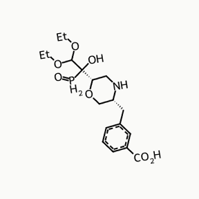 CCOC(OCC)C(O)([PH2]=O)[C@@H]1CN[C@H](Cc2cccc(C(=O)O)c2)CO1